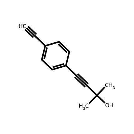 C#Cc1ccc(C#CC(C)(C)O)cc1